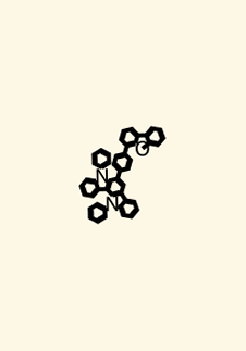 c1ccc(-n2c3ccccc3c3c2c(-c2ccc(-c4cccc5c4oc4ccccc45)cc2)cc2c4ccccc4n(-c4ccccc4)c23)cc1